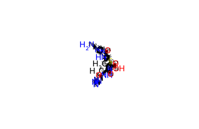 CC(NC(=O)Cn1cnnn1)C1C(=O)N2C(C(=O)O)=C(S[C@@H]3CNC(C(=O)N4CCN(CCN)CC4)C3)C(C)C12